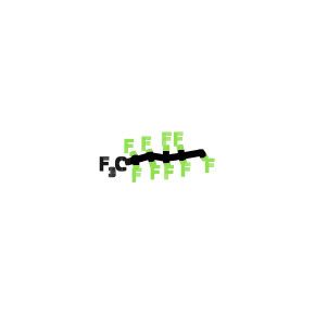 FCC(F)(F)C(F)(F)C(F)(F)C(F)(F)C(F)(F)F